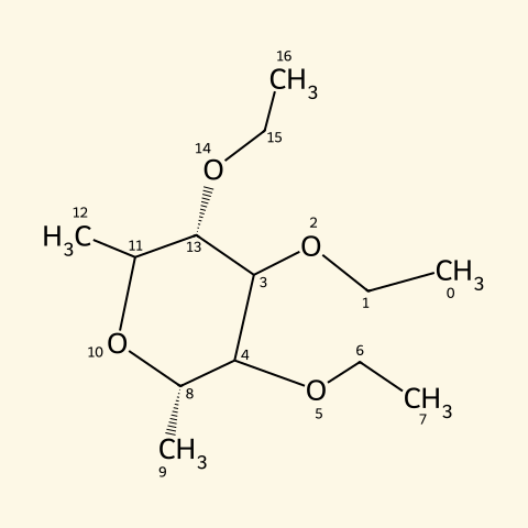 CCOC1C(OCC)[C@H](C)OC(C)[C@@H]1OCC